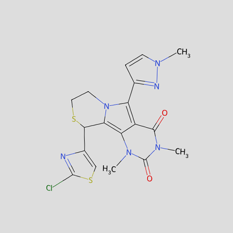 Cn1ccc(-c2c3c(=O)n(C)c(=O)n(C)c3c3n2CCSC3c2csc(Cl)n2)n1